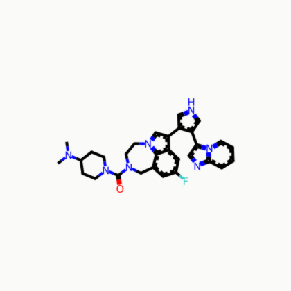 CN(C)C1CCN(C(=O)N2CCn3cc(-c4c[nH]cc4-c4cnc5ccccn45)c4cc(F)cc(c43)C2)CC1